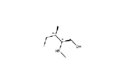 CC[C@@H](C)[C@@H](CO)NC